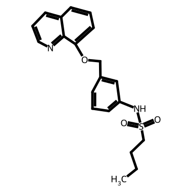 CCCCS(=O)(=O)Nc1cccc(COc2cccc3cccnc23)c1